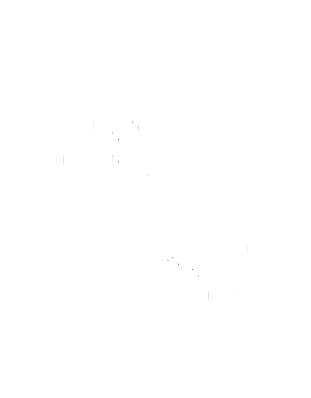 CC(Oc1ccc(C=NN(C)P(C)(=S)Cl)cc1)N(F)N(F)NF